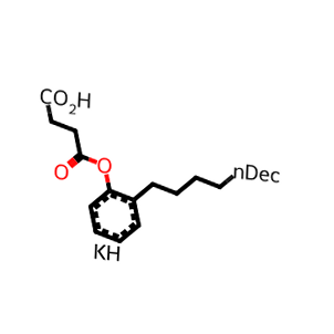 CCCCCCCCCCCCCCc1ccccc1OC(=O)CCC(=O)O.[KH]